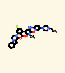 CCN1CCN(c2ccc(Nc3cc(-c4cc(F)cc(N5CCn6c(cc7c6CCCC7)C5=O)c4CO)cn(C)c3=O)nc2)CC1